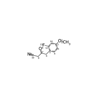 COc1ccc(CC(=O)CC#N)c(F)c1